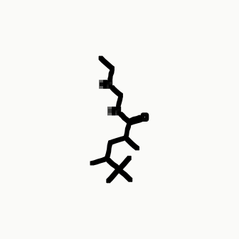 CCNCNC(=O)C(C)CC(C)C(C)(C)C